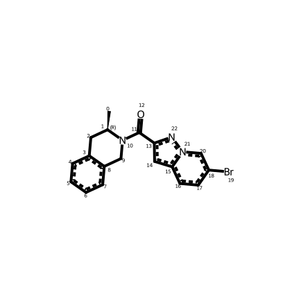 C[C@@H]1Cc2ccccc2CN1C(=O)c1cc2ccc(Br)cn2n1